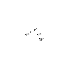 [Ni+2].[Ni+2].[Ni+2].[P-3].[P-3]